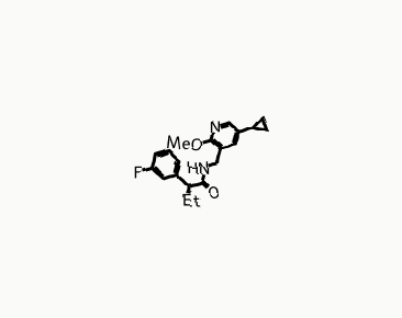 CCC(C(=O)NCc1cc(C2CC2)cnc1OC)c1cccc(F)c1